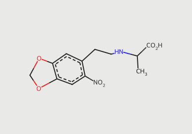 CC(NCCc1cc2c(cc1[N+](=O)[O-])OCO2)C(=O)O